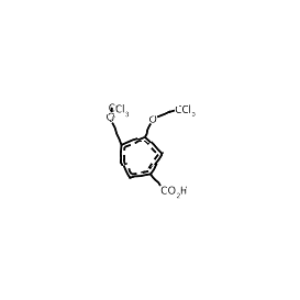 O=C(O)c1ccc(OC(Cl)(Cl)Cl)c(OC(Cl)(Cl)Cl)c1